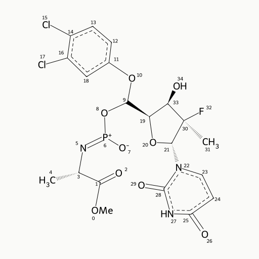 COC(=O)[C@H](C)/N=[P+](\[O-])OC(Oc1ccc(Cl)c(Cl)c1)[C@@H]1O[C@@H](n2ccc(=O)[nH]c2=O)[C@](C)(F)[C@@H]1O